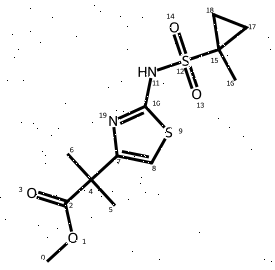 COC(=O)C(C)(C)c1csc(NS(=O)(=O)C2(C)CC2)n1